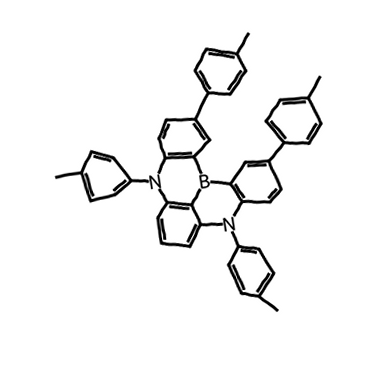 Cc1ccc(-c2ccc3c(c2)B2c4cc(-c5ccc(C)cc5)ccc4N(c4ccc(C)cc4)c4cccc(c42)N3c2ccc(C)cc2)cc1